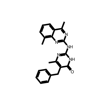 Cc1nc(Nc2nc(C)c3cccc(C)c3n2)[nH]c(=O)c1Cc1ccccc1